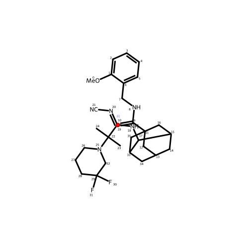 COc1ccccc1CNC(=O)C12CC3CC(C1)C(N/C(=N/C#N)C(C)(C)N1CCCC(F)(F)C1)C(C3)C2